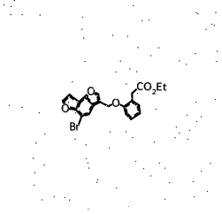 CCOC(=O)Cc1ccccc1OCc1coc2c1cc(Br)c1occc12